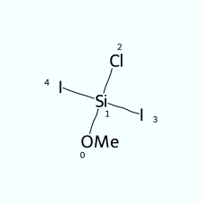 CO[Si](Cl)(I)I